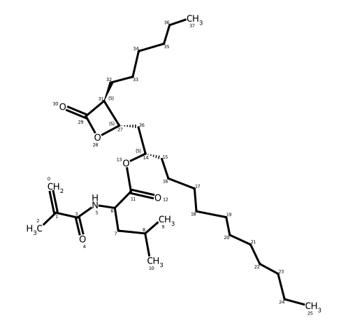 C=C(C)C(=O)NC(CC(C)C)C(=O)O[C@@H](CCCCCCCCCCC)C[C@@H]1OC(=O)[C@H]1CCCCCC